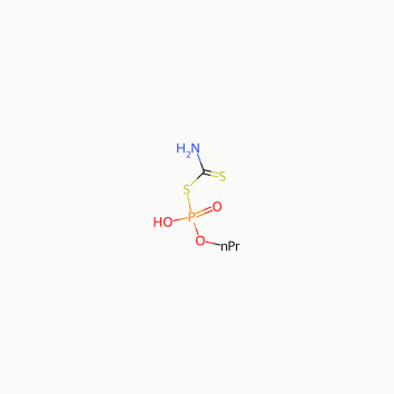 CCCOP(=O)(O)SC(N)=S